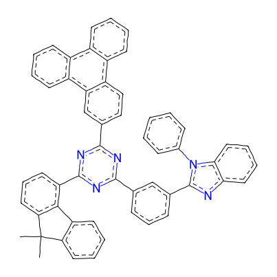 CC1(C)c2ccccc2-c2c(-c3nc(-c4cccc(-c5nc6ccccc6n5-c5ccccc5)c4)nc(-c4ccc5c6ccccc6c6ccccc6c5c4)n3)cccc21